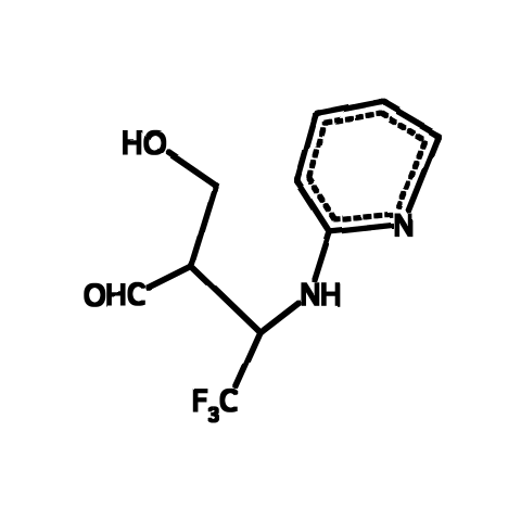 O=CC(CO)C(Nc1ccccn1)C(F)(F)F